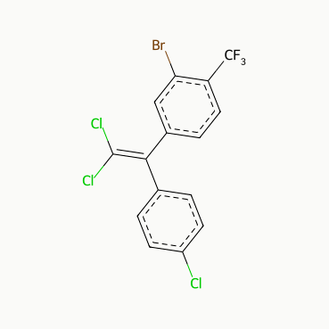 FC(F)(F)c1ccc(C(=C(Cl)Cl)c2ccc(Cl)cc2)cc1Br